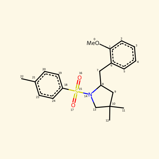 COc1ccccc1CC1CC(C)(C)CN1S(=O)(=O)c1ccc(C)cc1